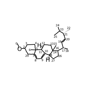 COC1CCC2(C)C(=CC=C3[C@@H]2CCC2(C)C([C@H](C)/C=C/[C@@H](C)C(C)C)CC[C@@H]32)C1